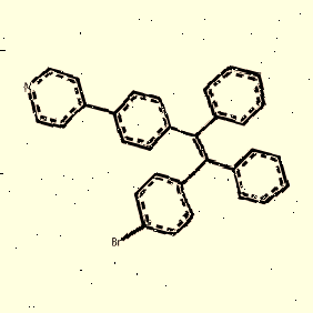 Brc1ccc(C(=C(c2ccccc2)c2ccc(-c3ccncc3)cc2)c2ccccc2)cc1